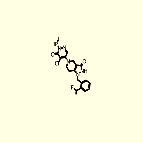 O=c1[nH]n(Cc2ccccc2C(F)F)c2c1CN(c1cnn(PI)c(=O)c1Cl)CC2